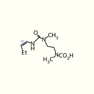 CC/C=C\NC(=O)N(C)CCN(C)C(=O)O